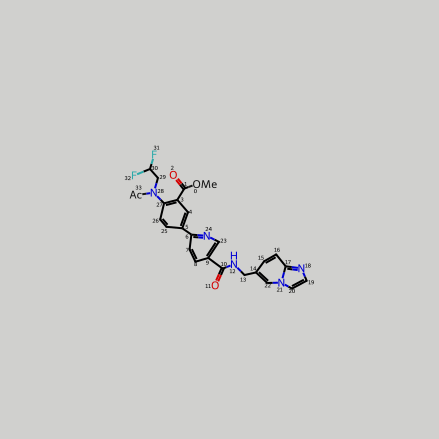 COC(=O)c1cc(-c2ccc(C(=O)NCc3ccc4nccn4c3)cn2)ccc1N(CC(F)F)C(C)=O